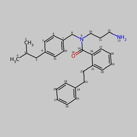 CC(C)Cc1ccc(CN(CCCN)C(=O)c2ccccc2CCc2ccccc2)cc1